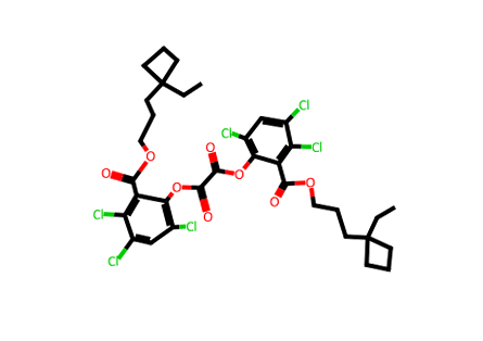 CCC1(CCCOC(=O)c2c(Cl)c(Cl)cc(Cl)c2OC(=O)C(=O)Oc2c(Cl)cc(Cl)c(Cl)c2C(=O)OCCCC2(CC)CCC2)CCC1